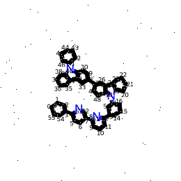 c1ccc(-c2ccc(-c3cccc(-c4cccc(-n5c6ccccc6c6cc(-c7ccc8c(c7)c7ccccc7n8-c7ccccc7)ccc65)c4)n3)cn2)cc1